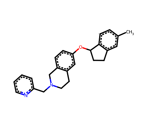 Cc1c[c]c2c(c1)CCC2Oc1ccc2c(c1)CCN(Cc1ccccn1)C2